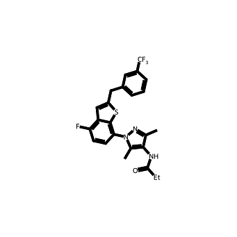 CCC(=O)Nc1c(C)nn(-c2ccc(F)c3cc(Cc4cccc(C(F)(F)F)c4)sc23)c1C